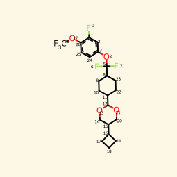 Fc1cc(OC(F)(F)C2CCC(C3OCC(C4CCC4)CO3)CC2)ccc1OC(F)(F)F